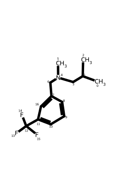 CC(C)CN(C)Cc1cccc(C(F)(F)F)c1